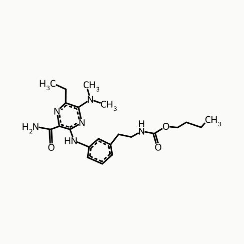 CCCCOC(=O)NCCc1cccc(Nc2nc(N(C)C)c(CC)nc2C(N)=O)c1